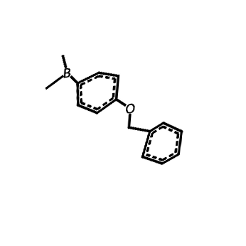 CB(C)c1ccc(OCc2ccccc2)cc1